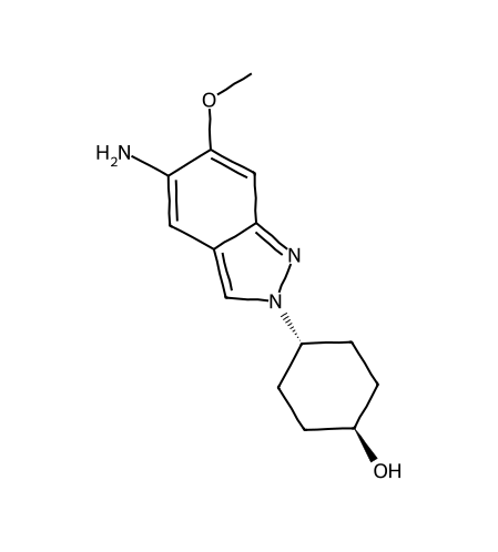 COc1cc2nn([C@H]3CC[C@H](O)CC3)cc2cc1N